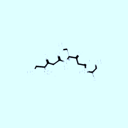 CC(=O)[C@H](CS)NC(=O)CC(=O)[C@H](CS)NC(=O)CC(=O)[C@@H](N)CS